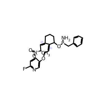 CC(/C=C1/CCCC(OP(N)Cc2ccccc2)/C1=C/COc1ccc(F)nc1)[N+](=O)[O-]